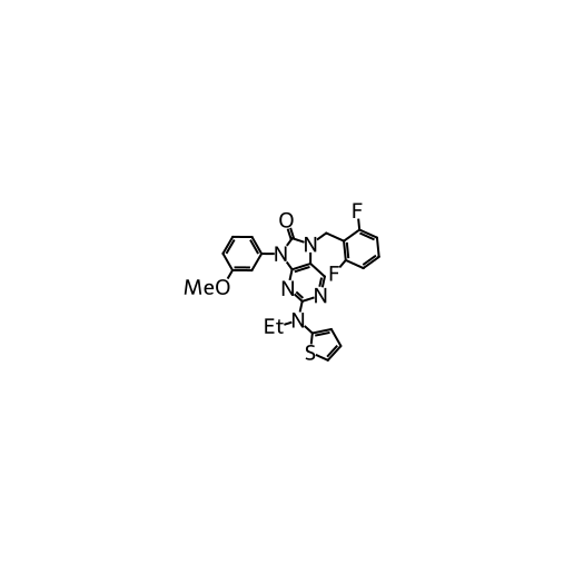 CCN(c1ncc2c(n1)n(-c1cccc(OC)c1)c(=O)n2Cc1c(F)cccc1F)c1cccs1